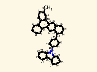 Cc1ccc2c3ccccc3c3cc4c(-c5ccc(-n6c7ccccc7c7ccccc76)cc5)cccc4cc3c2c1